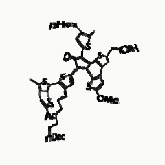 CCCCCCCCCCCCCCCCc1cc(C2=c3c(c4sc(CO)cc4c4cc(OC)sc34)=C(c3cc(CCCCCC)c(C)s3)C2=O)sc1-c1sc(C)c2cc(C(C)=O)sc12